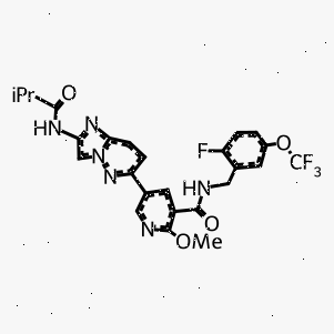 COc1ncc(-c2ccc3nc(NC(=O)C(C)C)cn3n2)cc1C(=O)NCc1cc(OC(F)(F)F)ccc1F